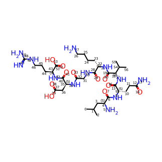 CC(C)C[C@H](N)C(=O)N[C@@H](CCC(N)=O)C(=O)N[C@H](C(=O)N[C@@H](CCCCN)C(=O)NCC(=O)N[C@@H](CC(=O)O)C(=O)N[C@@H](CCCNC(=N)N)C(=O)O)C(C)C